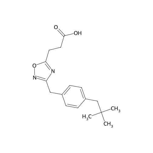 CC(C)(C)Cc1ccc(Cc2noc(CCC(=O)O)n2)cc1